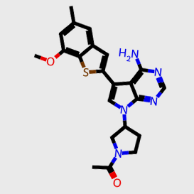 COc1cc(C)cc2cc(-c3cn(C4CCN(C(C)=O)C4)c4ncnc(N)c34)sc12